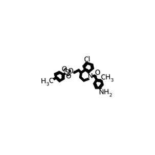 Cc1ccc(S(=O)(=O)OCCC2CCCN(C(=O)c3ccc(N)cc3C)c3ccc(Cl)cc32)cc1